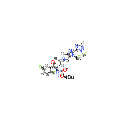 CCn1c(-c2nc(C)nn2C(F)F)nc2c1CN([C@H]1CO[C@H](c3cc(F)ccc3F)[C@@H](NC(=O)OC(C)(C)C)C1)C2